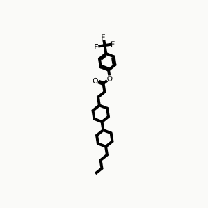 CCCCC1CCC(C2CCC(CCC(=O)Oc3ccc(C(F)(F)F)cc3)CC2)CC1